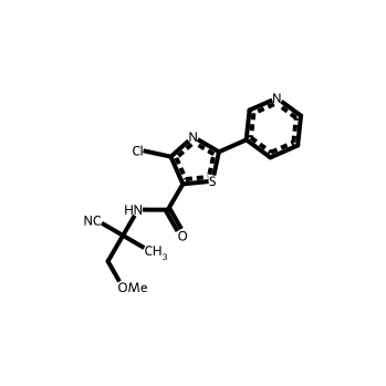 COCC(C)(C#N)NC(=O)c1sc(-c2cccnc2)nc1Cl